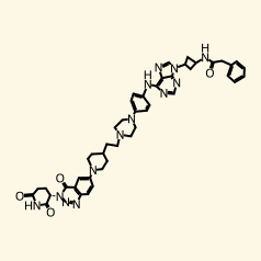 O=C1CC[C@H](n2nnc3ccc(N4CCC(CCN5CCN(c6ccc(Nc7ncnc8c7ncn8C7CC(NC(=O)Cc8ccccc8)C7)cc6)CC5)CC4)cc3c2=O)C(=O)N1